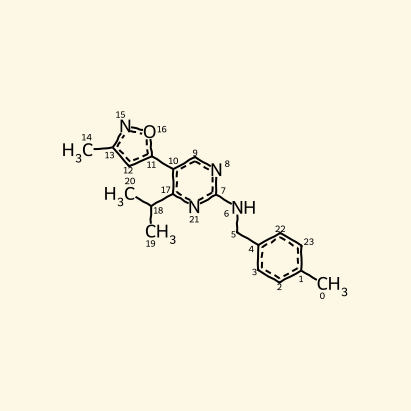 Cc1ccc(CNc2ncc(-c3cc(C)no3)c(C(C)C)n2)cc1